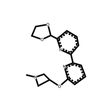 CN1CC(Oc2cccc(-c3cccc(C4OCCO4)n3)n2)C1